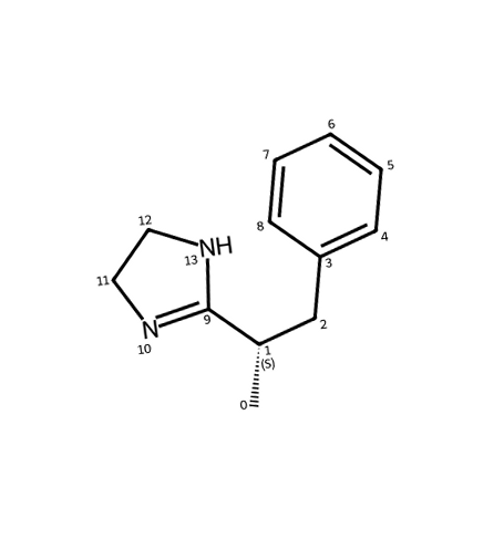 C[C@@H](Cc1ccccc1)C1=NCCN1